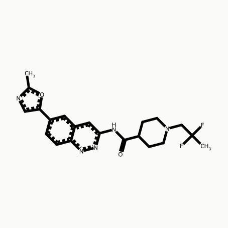 Cc1ncc(-c2ccc3nnc(NC(=O)C4CCN(CC(C)(F)F)CC4)cc3c2)o1